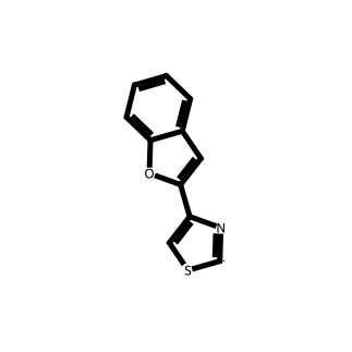 [c]1nc(-c2cc3ccccc3o2)cs1